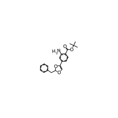 CC(C)(C)OC(=O)c1ccc(C2=COC(Cc3ccccc3)O2)cc1N